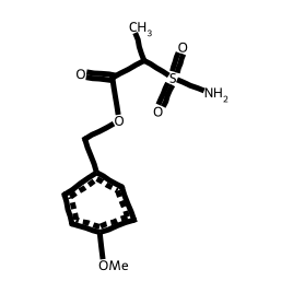 COc1ccc(COC(=O)C(C)S(N)(=O)=O)cc1